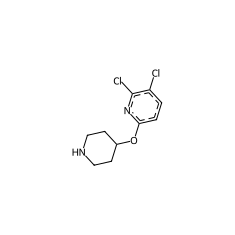 Clc1ccc(OC2CCNCC2)nc1Cl